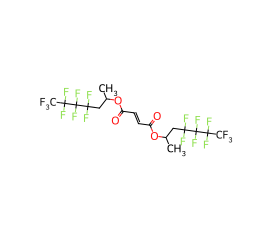 CC(CC(F)(F)C(F)(F)C(F)(F)C(F)(F)F)OC(=O)/C=C/C(=O)OC(C)CC(F)(F)C(F)(F)C(F)(F)C(F)(F)F